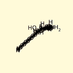 [N-]=[N+]=NCCOCCOCCOCCOCCOCCOCCOCCOCCOCCC(=O)NCCNC(=O)CCC(NC(=O)c1ccc(N(Cc2cnc3nc(N)[nH]c(=O)c3n2)C(=O)C(F)(F)F)cc1)C(=O)O